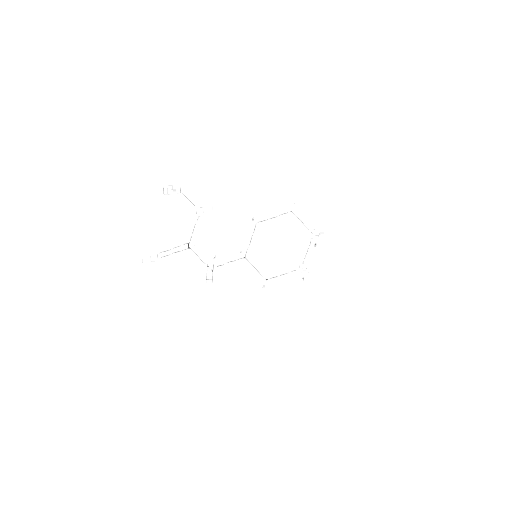 CC(C)(C)OC(=O)NC1CC[Se][Se]C1